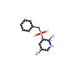 O=S(=O)(Cc1ccccc1)c1cc(Br)cnc1Cl